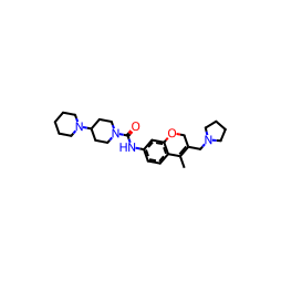 CC1=C(CN2CCCC2)COc2cc(NC(=O)N3CCC(N4CCCCC4)CC3)ccc21